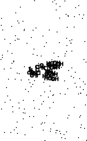 O=C(NCCCN(CCCNC(=O)[C@H](O)[C@@H](O)[C@H](O)[C@H](O)CO)C(=O)CCc1cc(Cl)c(CN2CSC[C@H]2C(=O)N2CCN(C3CC3)c3ccccc32)cc1Cl)[C@H](O)[C@@H](O)[C@H](O)[C@H](O)CO